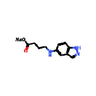 COC(=O)CCCNc1ccc2[nH]ncc2c1